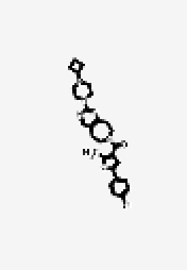 Cc1oc(-c2ccc(Cl)cc2)cc1C(=O)N1CCc2cnc(N3CCN(C4CCC4)CC3)nc2CC1